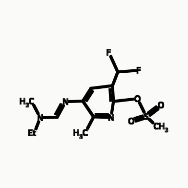 CCN(C)/C=N/c1cc(C(F)F)c(OS(C)(=O)=O)nc1C